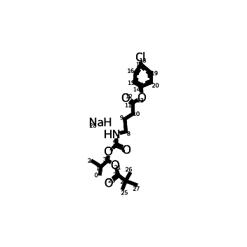 CC(C)C(OC(=O)NCCCC(=O)Oc1ccc(Cl)cc1)OC(=O)C(C)(C)C.[NaH]